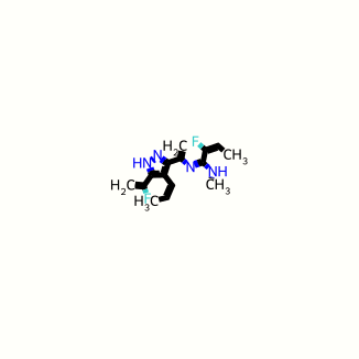 C=C(/N=C(NC)\C(F)=C/C)c1n[nH]c(C(=C)F)c1/C=C\C